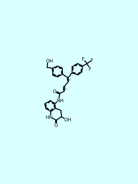 O=C(/C=C/C=C(\c1ccc(CO)cc1)c1ccc(C(F)(F)F)cc1)Nc1cccc2c1CC(O)C(=O)N2